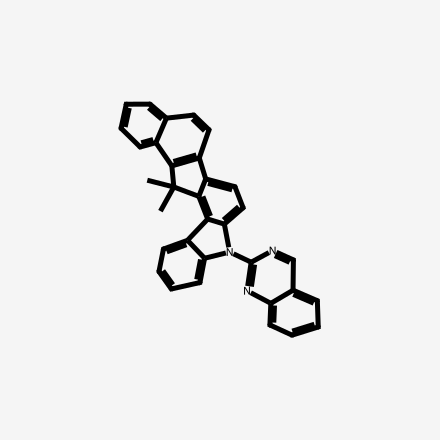 CC1(C)c2c(ccc3ccccc23)-c2ccc3c(c21)c1ccccc1n3-c1ncc2ccccc2n1